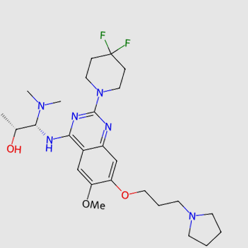 COc1cc2c(N[C@H]([C@@H](C)O)N(C)C)nc(N3CCC(F)(F)CC3)nc2cc1OCCCN1CCCC1